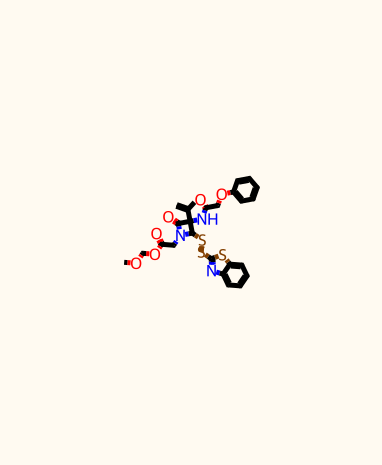 C=C(C)C1(NC(=O)COc2ccccc2)C(=O)N(CC(=O)OCOC)C1SSc1nc2ccccc2s1